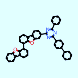 c1ccc(-c2ccc(-c3nc(-c4ccccc4)nc(-c4ccc5c(c4)oc4c(-c6cccc7c6oc6ccccc67)cccc45)n3)cc2)cc1